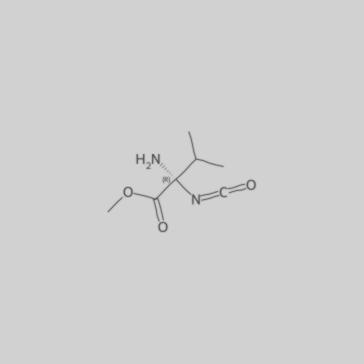 COC(=O)[C@](N)(N=C=O)C(C)C